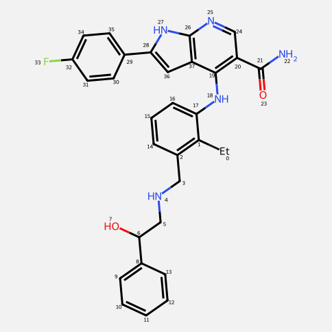 CCc1c(CNCC(O)c2ccccc2)cccc1Nc1c(C(N)=O)cnc2[nH]c(-c3ccc(F)cc3)cc12